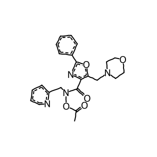 CC(=O)ON(Cc1ccccn1)C(=O)c1nc(-c2ccccc2)oc1CN1CCOCC1